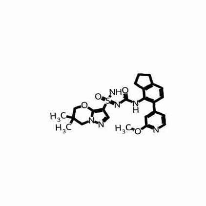 COc1cc(-c2ccc3c(c2NC(=O)N=S(N)(=O)c2cnn4c2OCC(C)(C)C4)CCC3)ccn1